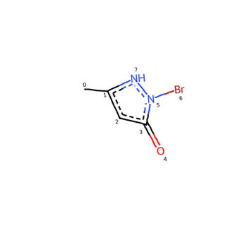 Cc1cc(=O)n(Br)[nH]1